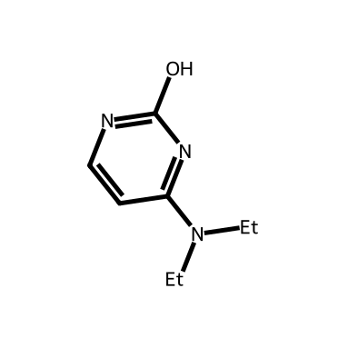 CCN(CC)c1ccnc(O)n1